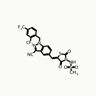 CS(=O)(=O)NN1C(=O)S/C(=C\c2ccc3c(c2)c(C#N)nn3Cc2ccc(C(F)(F)F)cc2C(F)(F)F)C1=O